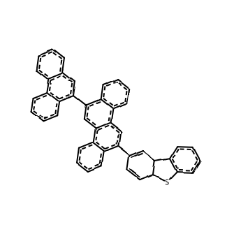 C1=CC2Sc3ccccc3C2C=C1c1cc2c3ccccc3c(-c3cc4ccccc4c4ccccc34)cc2c2ccccc12